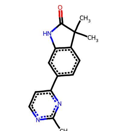 Cc1nccc(-c2ccc3c(c2)NC(=O)C3(C)C)n1